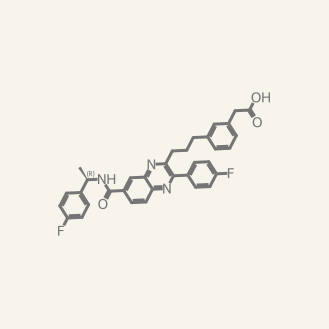 C[C@@H](NC(=O)c1ccc2nc(-c3ccc(F)cc3)c(CCCc3cccc(CC(=O)O)c3)nc2c1)c1ccc(F)cc1